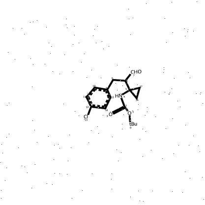 CC(C)(C)OC(=O)NC1(C(C=O)Cc2ccc(Cl)cc2)CC1